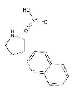 C1=CNCC1.O=[N+]([O-])O.c1ccc2ccccc2c1